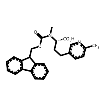 CN(C(=O)OCC1c2ccccc2-c2ccccc21)[C@@H](CCc1ccc(C(F)(F)F)nc1)C(=O)O